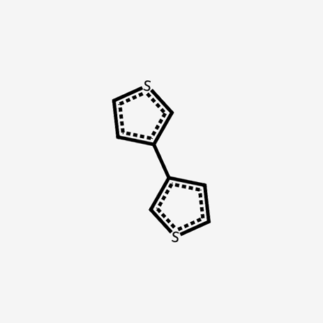 c1cc(-c2ccsc2)cs1